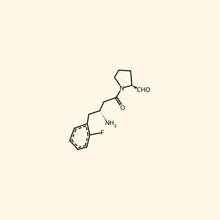 N[C@@H](CC(=O)N1CCC[C@H]1C=O)Cc1ccccc1F